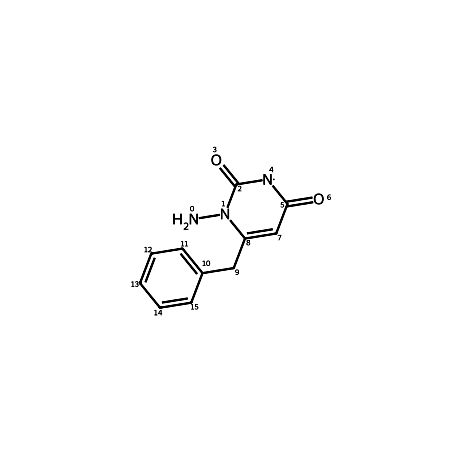 NN1C(=O)[N]C(=O)C=C1Cc1ccccc1